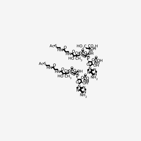 CC(=O)SCCNC(=O)CCNC(=O)C(O)C(C)(C)COP(=O)(O)OP(=O)(O)OC[C@H]1O[C@@H](n2cnc3c(N)ncnc32)[C@H](O)[C@@H]1OP(=O)(O)O.CC(=O)SCCNC(=O)CCNC(=O)C(O)C(C)(C)COP(=O)(O)OP(=O)(O)OC[C@H]1O[C@@H](n2cnc3c(N)ncnc32)[C@H](O)[C@@H]1OP(=O)(O)O.CC(C)C(O)(CC(=O)O)C(=O)O